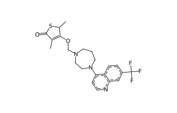 CC1=C(OCN2CCCN(c3ccnc4cc(C(F)(F)F)ccc34)CC2)C(C)SC1=O